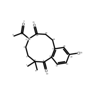 CC(=O)N1CCC(C)(C)C(=O)c2ccc(Cl)cc2CCC1=O